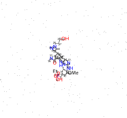 CCOP(=O)(O)Cc1ccc(Nc2ncc(C(F)(F)F)c(Nc3ccc(-c4cnn(CCCO)c4)c4c3C(=O)N(C)C4)n2)c(OC)c1